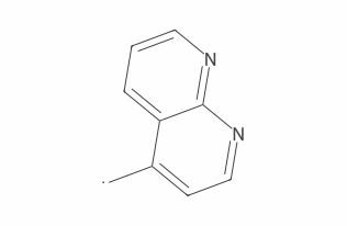 [CH2]c1ccnc2ncccc12